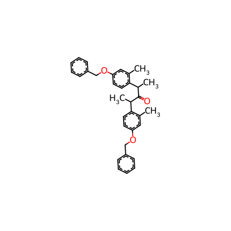 Cc1cc(OCc2ccccc2)ccc1C(C)C(=O)C(C)c1ccc(OCc2ccccc2)cc1C